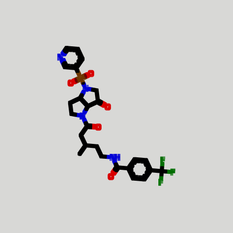 CC(CCNC(=O)c1ccc(C(F)(F)F)cc1)CC(=O)N1CCC2C1C(=O)CN2S(=O)(=O)c1cccnc1